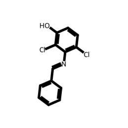 Oc1ccc(Cl)c(N=Cc2ccccc2)c1Cl